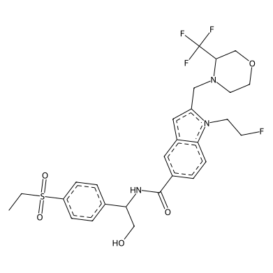 CCS(=O)(=O)c1ccc(C(CO)NC(=O)c2ccc3c(c2)cc(CN2CCOCC2C(F)(F)F)n3CCF)cc1